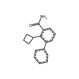 NC(=O)c1cccc(-c2ccccc2)c1C1CCC1